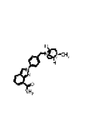 CN1C[C@@H]2C[C@H]1CN2Cc1ccc(-n2cc3cccc(C(N)=O)c3n2)cc1